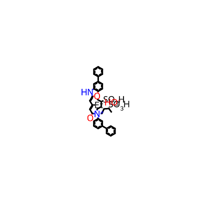 CCC(=CC1Oc2ccc(-c3ccccc3)cc2[N+]1(CCC(C)S(=O)(=O)O)CCC(C)S(=O)(=O)O)C=C1Nc2cc(-c3ccccc3)ccc2O1.[OH-]